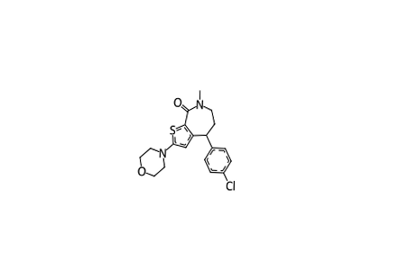 CN1CCC(c2ccc(Cl)cc2)c2cc(N3CCOCC3)sc2C1=O